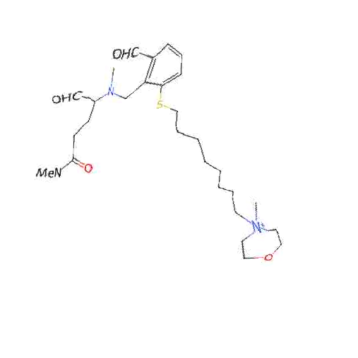 CNC(=O)CCC(C=O)N(C)Cc1c(C=O)cccc1SCCCCCCCC[N+]1(C)CCOCC1